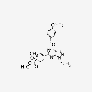 CCn1ncc2c(OCc3ccc(OC)cc3)nc(C3=CCC(OC)(C(=O)OC)CC3)nc21